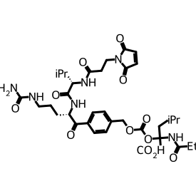 CCC(=O)NC(CC(C)C)(OC(=O)OCc1ccc(C(=O)[C@H](CCCNC(N)=O)NC(=O)[C@@H](NC(=O)CCN2C(=O)C=CC2=O)C(C)C)cc1)C(=O)O